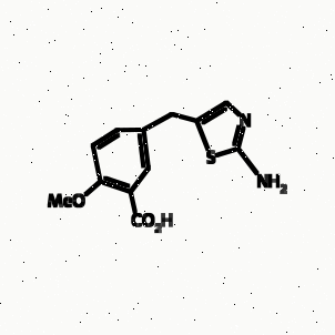 COc1ccc(Cc2cnc(N)s2)cc1C(=O)O